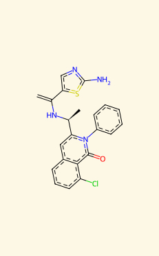 C=C(N[C@@H](C)c1cc2cccc(Cl)c2c(=O)n1-c1ccccc1)c1cnc(N)s1